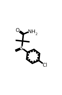 C=S(c1ccc(Cl)cc1)C(C)(C)C(N)=O